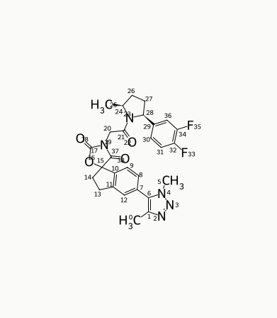 Cc1nnn(C)c1-c1ccc2c(c1)CCC21OC(=O)N(CC(=O)N2[C@@H](C)CC[C@H]2c2ccc(F)c(F)c2)C1=O